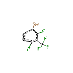 Fc1ccc(S)c(F)c1C(F)(F)F